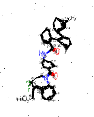 Cc1cccc(-c2ccccc2-c2ccccc2C(=O)Nc2ccc(C(=O)N3CCC(F)(F)C(=CC(=O)O)c4ccccc43)cc2)c1